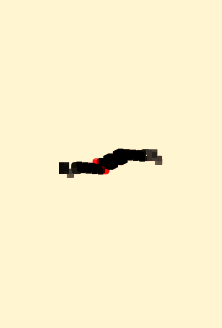 CCCCCCCc1ccc(-c2ccc(C3COC(CCCCCCC)CO3)cc2)cc1